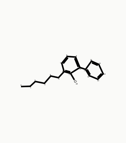 CCCCCCc1cccc(-c2ccccc2)c1[O]